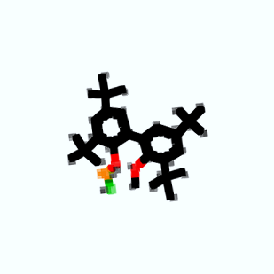 COc1c(-c2cc(C(C)(C)C)cc(C(C)(C)C)c2OPCl)cc(C(C)(C)C)cc1C(C)(C)C